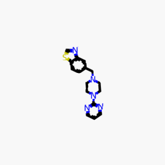 c1cnc(N2CCN(Cc3ccc4scnc4c3)CC2)nc1